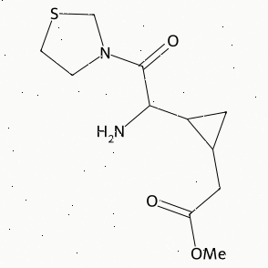 COC(=O)CC1CC1C(N)C(=O)N1CCSC1